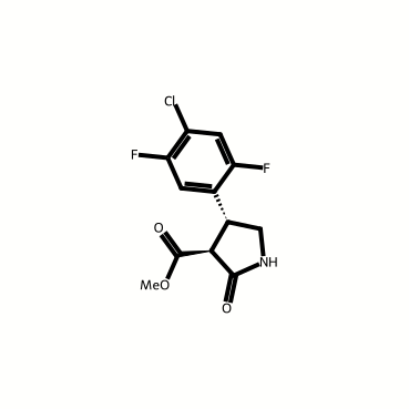 COC(=O)[C@@H]1C(=O)NC[C@H]1c1cc(F)c(Cl)cc1F